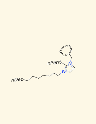 CCCCCCCCCCCCCCCCC[n+]1ccn(Cc2ccccc2)c1CCCCC